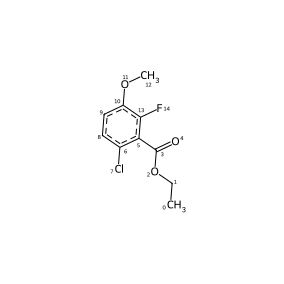 CCOC(=O)c1c(Cl)ccc(OC)c1F